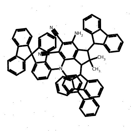 CC1(C)C(C2c3ccccc3-c3ccccc32)c2c(N)c(C#N)c(C#N)c(N(c3ccc(-c4ccccc4)cc3)c3cccc4c3-c3ccccc3C43c4ccccc4-c4ccccc43)c2C1C1c2ccccc2-c2ccccc21